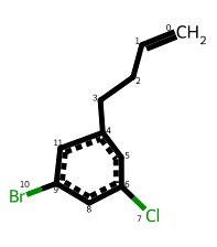 C=CCCc1cc(Cl)cc(Br)c1